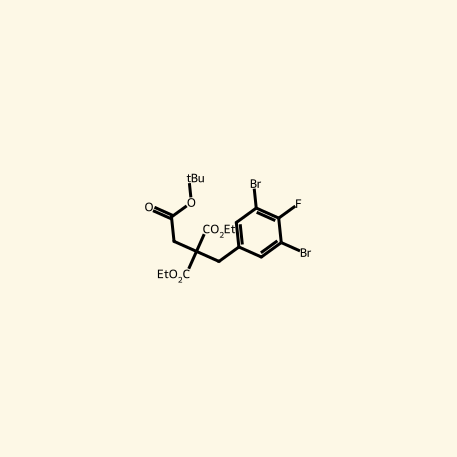 CCOC(=O)C(CC(=O)OC(C)(C)C)(Cc1cc(Br)c(F)c(Br)c1)C(=O)OCC